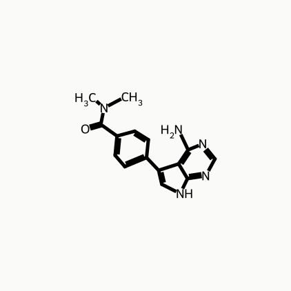 CN(C)C(=O)c1ccc(-c2c[nH]c3ncnc(N)c23)cc1